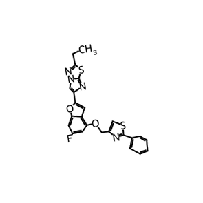 CCc1nn2cc(-c3cc4c(OCc5csc(-c6ccccc6)n5)cc(F)cc4o3)nc2s1